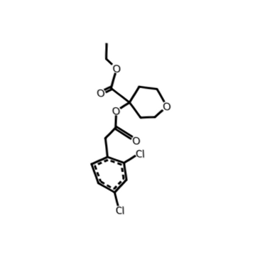 CCOC(=O)C1(OC(=O)Cc2ccc(Cl)cc2Cl)CCOCC1